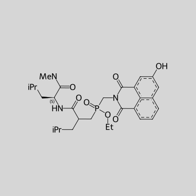 CCOP(=O)(CC(CC(C)C)C(=O)N[C@@H](CC(C)C)C(=O)NC)CN1C(=O)c2cccc3cc(O)cc(c23)C1=O